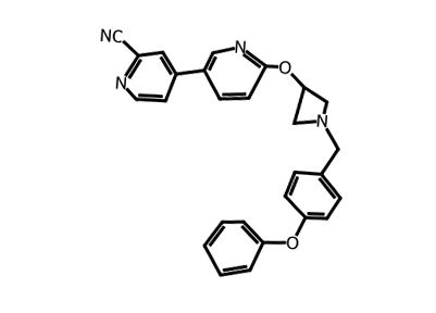 N#Cc1cc(-c2ccc(OC3CN(Cc4ccc(Oc5ccccc5)cc4)C3)nc2)ccn1